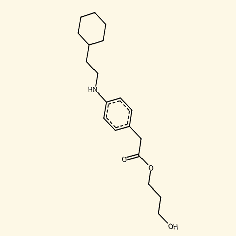 O=C(Cc1ccc(NCCC2CCCCC2)cc1)OCCCO